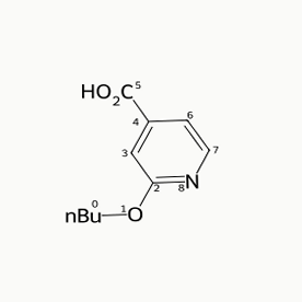 CCCCOc1cc(C(=O)O)ccn1